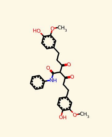 COc1cc(CCC(=O)C(C(=O)CCc2ccc(O)c(OC)c2)C(=O)Nc2ccccc2)ccc1O